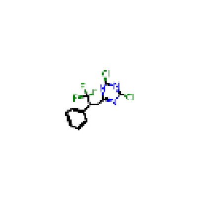 FC(F)(F)C(Cc1nc(Cl)nc(Cl)n1)c1ccccc1